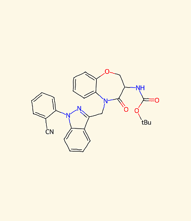 CC(C)(C)OC(=O)NC1COc2ccccc2N(Cc2nn(-c3ccccc3C#N)c3ccccc23)C1=O